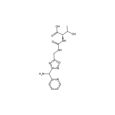 CC(O)[C@@H](NC(=O)NCc1nc(C(N)c2ccccn2)no1)C(=O)O